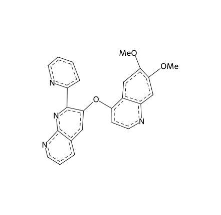 COc1cc2nccc(Oc3cc4cccnc4nc3-c3ccccn3)c2cc1OC